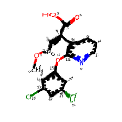 C[O][Po]/[CH]=C(/C(=O)O)c1cccnc1Oc1cc(Cl)cc(Cl)c1